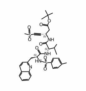 Cc1ccc(S(=O)(=O)N[C@@H](Cc2ccc3ccccc3n2)C(=O)N[C@H](C(=O)N[C@H](C#CS(C)(=O)=O)CC(=O)OC(C)(C)C)C(C)C)cc1